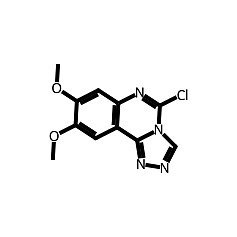 COc1cc2nc(Cl)n3cnnc3c2cc1OC